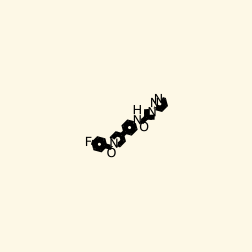 O=C(Nc1ccc(C2CCN(C(=O)c3ccc(F)cc3)CC2)cc1)C1CN(c2cccnn2)C1